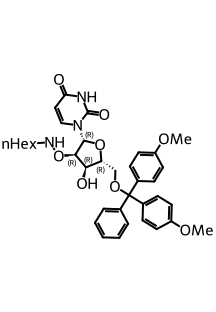 CCCCCCNO[C@@H]1[C@H](O)[C@@H](COC(c2ccccc2)(c2ccc(OC)cc2)c2ccc(OC)cc2)O[C@H]1n1ccc(=O)[nH]c1=O